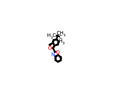 CC(C)(C)c1ccc2c(-c3nc4ccccc4o3)occ2c1